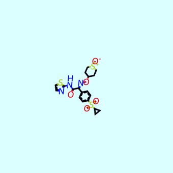 O=C(Nc1nccs1)/C(=N/OC1CC[S+]([O-])CC1)c1ccc(S(=O)(=O)C2CC2)cc1